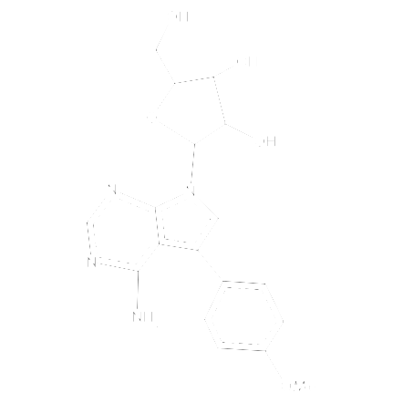 COc1ccc(-c2cn(C3OC(CO)C(O)C3O)c3ncnc(N)c23)cc1